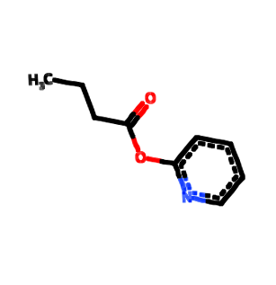 CCCC(=O)Oc1ccccn1